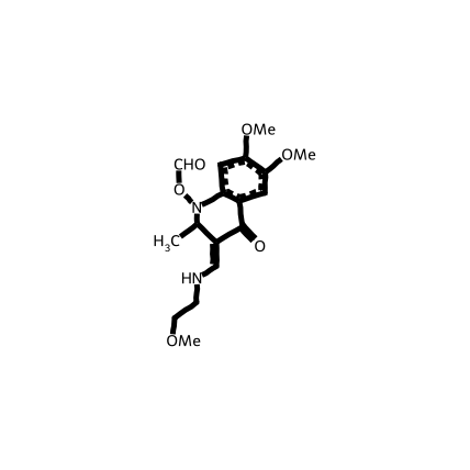 COCCNC=C1C(=O)c2cc(OC)c(OC)cc2N(OC=O)C1C